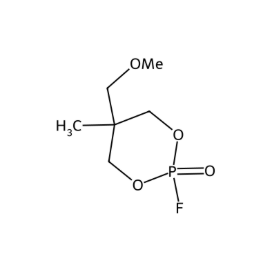 COCC1(C)COP(=O)(F)OC1